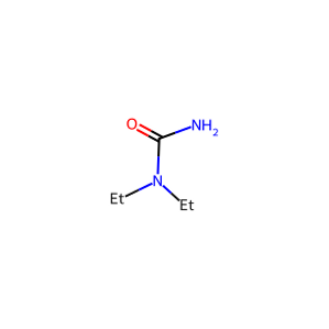 [CH2]CN(CC)C(N)=O